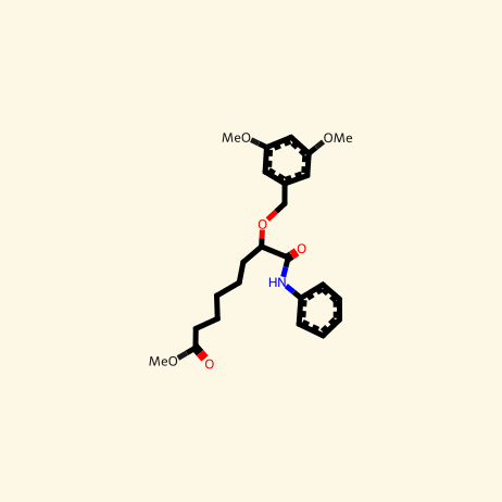 COC(=O)CCCCCC(OCc1cc(OC)cc(OC)c1)C(=O)Nc1ccccc1